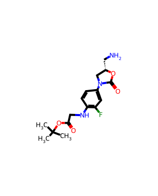 CC(C)(C)OC(=O)CNc1ccc(N2C[C@H](CN)OC2=O)cc1F